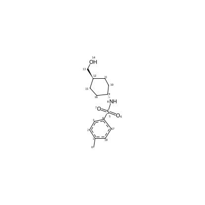 Cc1ccc(S(=O)(=O)N[C@H]2CC[C@H](CO)CC2)cc1